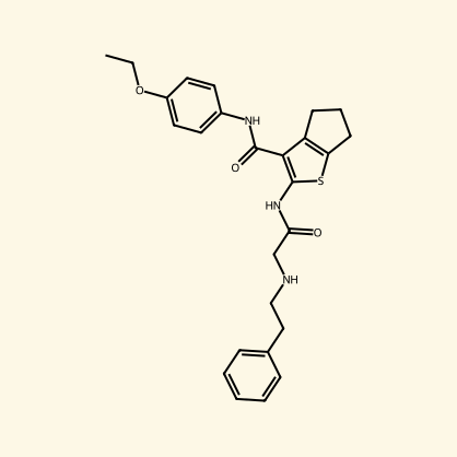 CCOc1ccc(NC(=O)c2c(NC(=O)CNCCc3ccccc3)sc3c2CCC3)cc1